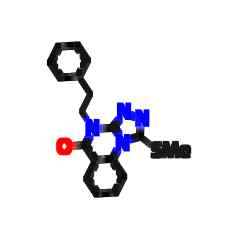 CSc1nnc2n(CCc3ccccc3)c(=O)c3ccccc3n12